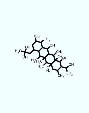 CC(O)C1C(C)CC2(C)C(C)C3(C)C(C)C4C(CC(C)(O)O)CC(C(C)(C)C)C(C)C4C(O)C3C(C)C2(C)C1O